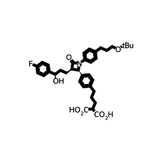 CC(C)(C)OCCCc1ccc(N2C(=O)[C@H](CC[C@H](O)c3ccc(F)cc3)[C@H]2c2ccc(CCCC(C(=O)O)C(=O)O)cc2)cc1